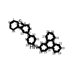 C1=Cc2sc3ccc(-c4ccc(Nc5ccc6c7ccccc7c7ccccc7c6c5)cc4)cc3c2CC1